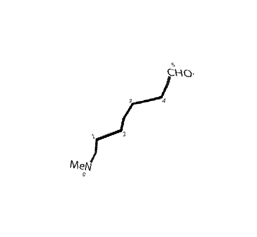 CNCCCC[C]=O